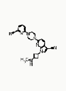 CNC1CC(n2cc(C#N)c3ccc(N4CCN(c5cccc(C#N)n5)CC4)nc32)C1